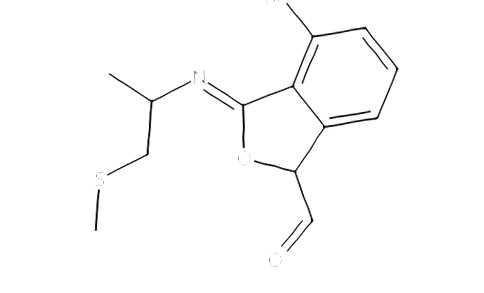 CSCC(C)N=C1OC(C=O)c2cccc(Br)c21